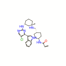 C=CC(=O)N[C@H]1CC[C@H](CN[C@@]2(C)CCC[C@@H](Nc3ncc(Cl)c(-c4c[nH]c5ccccc45)n3)C2)CC1